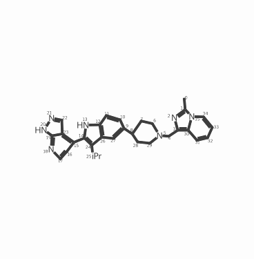 Cc1nc(CN2CCC(c3ccc4[nH]c(-c5ccnc6[nH]ncc56)c(C(C)C)c4c3)CC2)c2ccccn12